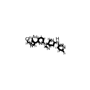 CC(=O)c1ccc(-n2cnc3cc(Nc4ccc(C)nn4)ncc32)nc1-c1cnn(CC(F)(F)F)c1C